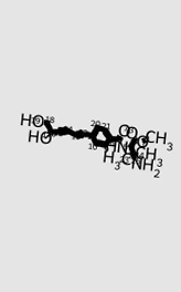 COC(=O)[C@@H](NC(=O)c1ccc(C#CC#C[C@H](O)CO)cc1)C(C)(C)N